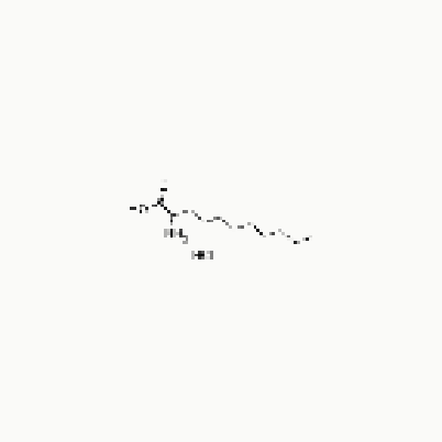 CCCCCCCCCC(N)C(=O)O.Cl